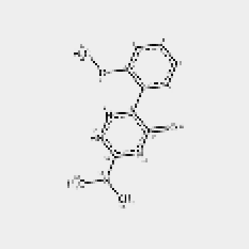 COc1ccccc1-c1n[nH]c(N(C)C)nc1=O